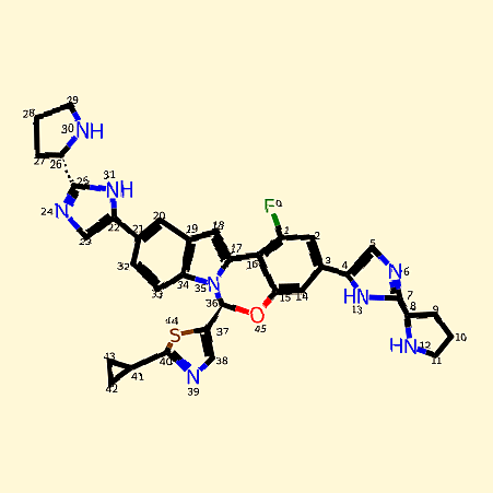 Fc1cc(-c2cnc(C3CCCN3)[nH]2)cc2c1-c1cc3cc(-c4cnc([C@@H]5CCCN5)[nH]4)ccc3n1[C@H](c1cnc(C3CC3)s1)O2